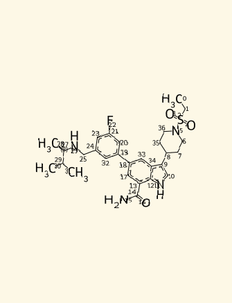 CCS(=O)(=O)N1CCC(c2c[nH]c3c(C(N)=O)cc(-c4cc(F)cc(CN[C@H](C)C(C)C)c4)cc23)CC1